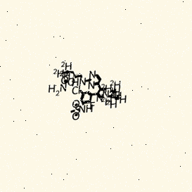 [2H]C([2H])([2H])C[C@@H](CNc1nccc(-c2cn(C([2H])(C([2H])([2H])[2H])C([2H])([2H])[2H])nc2-c2cc(Cl)cc(NS(C)(=O)=O)c2F)n1)OC(N)=O